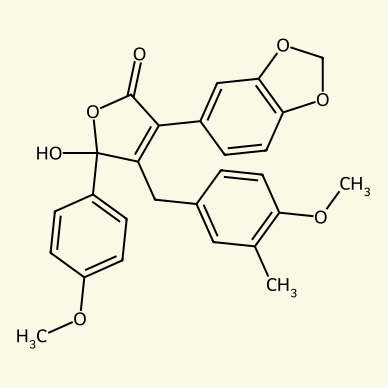 COc1ccc(C2(O)OC(=O)C(c3ccc4c(c3)OCO4)=C2Cc2ccc(OC)c(C)c2)cc1